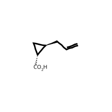 C=CC[C@@H]1C[C@H]1C(=O)O